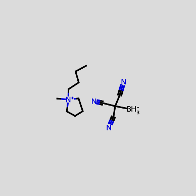 CCCC[N+]1(C)CCCC1.[BH3-]C(C#N)(C#N)C#N